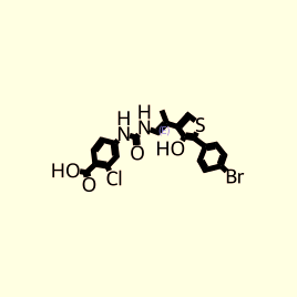 C/C(=C\NC(=O)Nc1ccc(C(=O)O)c(Cl)c1)c1csc(-c2ccc(Br)cc2)c1O